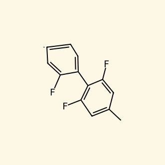 Cc1cc(F)c(-c2cc[c]cc2F)c(F)c1